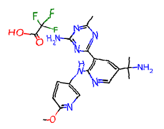 COc1ccc(Nc2ncc(C(C)(C)N)cc2-c2nc(C)nc(N)n2)cn1.O=C(O)C(F)(F)F